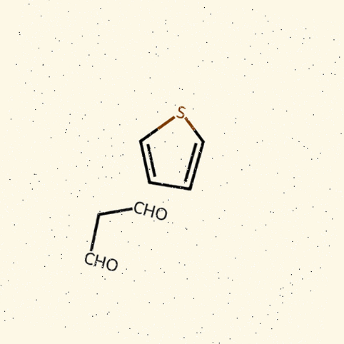 O=CCC=O.c1ccsc1